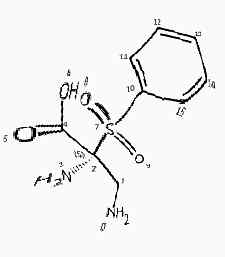 NC[C@@](N)(C(=O)O)S(=O)(=O)c1ccccc1